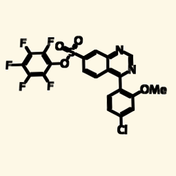 COc1cc(Cl)ccc1-c1ncnc2cc(S(=O)(=O)Oc3c(F)c(F)c(F)c(F)c3F)ccc12